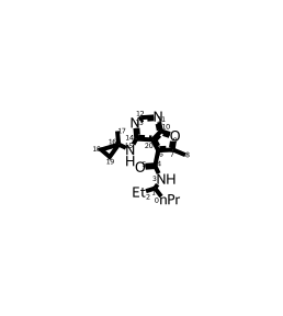 CCCC(CC)NC(=O)c1c(C)oc2ncnc(NC3(C)CC3)c12